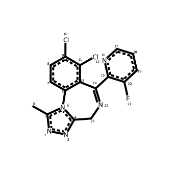 Cc1nnc2n1-c1ccc(Cl)c(Cl)c1C(c1ncccc1F)=NC2